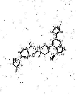 CC(NC(=O)C1(C)CCN(c2cc(-c3cnn(C)c3)cn3ncc(C#N)c23)CC1)c1ccc(-n2cc(F)cn2)nc1